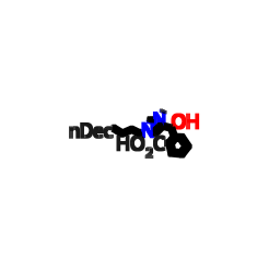 CCCCCCCCCCCCCCN1C=C(C(O)c2ccccc2C(=O)O)N(C)C1